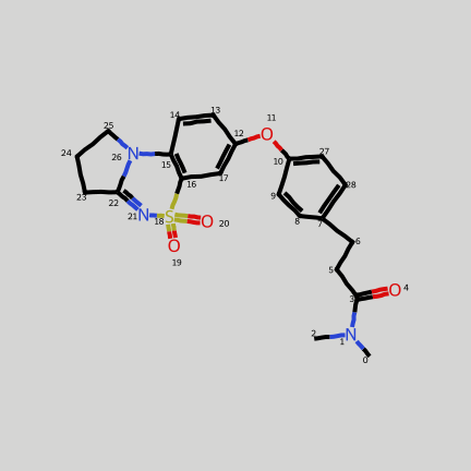 CN(C)C(=O)CCc1ccc(Oc2ccc3c(c2)S(=O)(=O)N=C2CCCN23)cc1